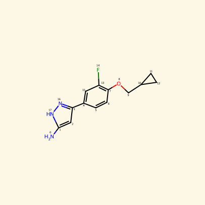 Nc1cc(-c2ccc(OCC3CC3)c(F)c2)n[nH]1